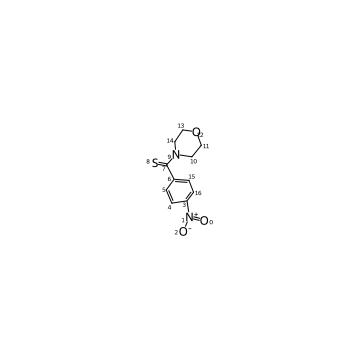 O=[N+]([O-])c1ccc(C(=S)N2CCOCC2)cc1